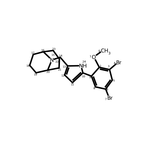 COc1c(Br)cc(Br)cc1-c1ccc(CN2C3CCCC2CCC3)[nH]1